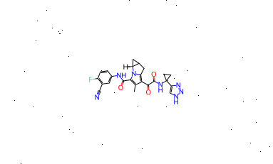 Cc1c(C(=O)C(=O)NC2(c3c[nH]nn3)CC2)c2n(c1C(=O)Nc1ccc(F)c(C#N)c1)[C@@H]1CC1C2